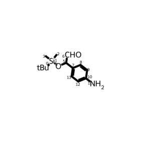 CC(C)(C)[Si](C)(C)OC(C=O)c1ccc(N)cc1